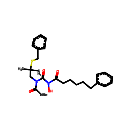 CNC(=O)N(CC(C)(C)SCc1ccccc1)C(=O)N(O)C(=O)CCCCCc1ccccc1